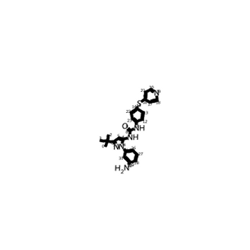 CC(C)(C)c1cc(NC(=O)Nc2ccc(Sc3ccncc3)cc2)n(-c2cccc(N)c2)n1